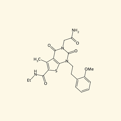 CCNC(=O)c1sc2c(c1C)c(=O)n(CC(N)=O)c(=O)n2CCc1ccccc1OC